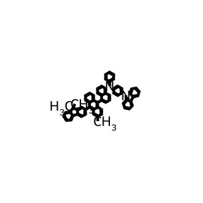 Cc1ccc2c(-c3cccc4c(N(c5ccccc5)c5ccc(-n6c7ccccc7c7ccccc76)cc5)cccc34)c3ccccc3c(-c3ccc4c(c3)C(C)(C)c3ccccc3-4)c2c1